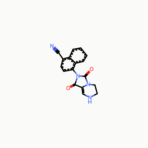 N#Cc1ccc(N2C(=O)C3=CNCCN3C2=O)c2ccccc12